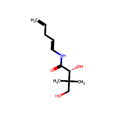 C=CC/C=C/NC(=O)[C@H](O)C(C)(C)CO